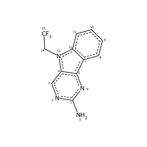 Nc1ncc2c(n1)c1ccccc1n2CC(F)(F)F